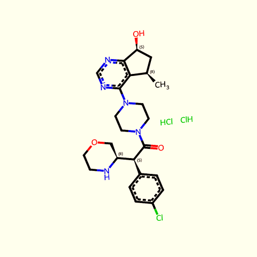 C[C@@H]1C[C@H](O)c2ncnc(N3CCN(C(=O)[C@@H](c4ccc(Cl)cc4)[C@@H]4COCCN4)CC3)c21.Cl.Cl